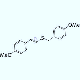 COc1ccc(/C=C/SCc2ccc(OC)cc2)cc1